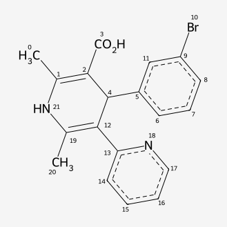 CC1=C(C(=O)O)C(c2cccc(Br)c2)C(c2ccccn2)=C(C)N1